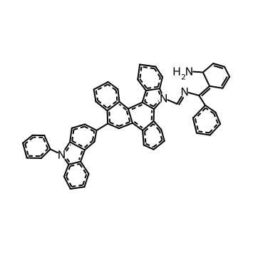 NC1C=CC=C/C1=C(/N=C/n1c2ccccc2c2c3c4ccccc4c(-c4ccc5c(c4)c4ccccc4n5-c4ccccc4)cc3c3ccccc3c21)c1ccccc1